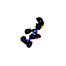 C/C(=N\C(=N/[C@@H](C)c1ccc2c(c1)sc1ccccc12)c1cccc2oc3cc(-n4c5ccccc5c5ccccc54)ccc3c12)c1ccccc1